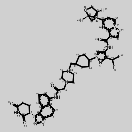 O=C1CC[C@H](c2noc3ccc4c(NC(=O)CN5CCN(CC6CCC(n7cc(NC(=O)c8cnn9ccc(N%10C[C@H]%11C[C@@H]%10CO%11)nc89)c(C(F)F)n7)CC6)CC5)cccc4c23)C(=O)N1